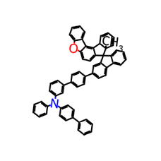 CC12C=CC=CC1c1c(ccc3oc4ccccc4c13)C21c2ccccc2-c2ccc(-c3ccc(-c4cccc(N(c5ccccc5)c5ccc(-c6ccccc6)cc5)c4)cc3)cc21